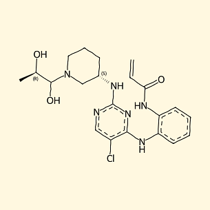 C=CC(=O)Nc1ccccc1Nc1nc(N[C@H]2CCCN(C(O)[C@@H](C)O)C2)ncc1Cl